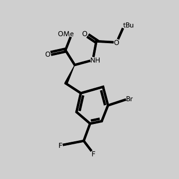 COC(=O)[C@H](Cc1cc(Br)cc(C(F)F)c1)NC(=O)OC(C)(C)C